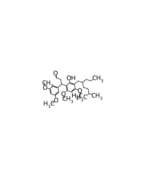 CCCC(CCC(C)C)Cc1c(OC)cc(OC)c(C(CC=O)c2cc(OC)cc(OC)c2)c1O